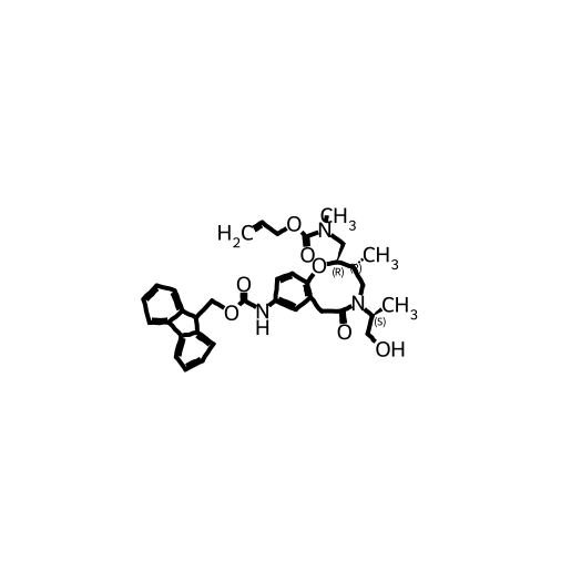 C=CCOC(=O)N(C)C[C@@H]1Oc2ccc(NC(=O)OCC3c4ccccc4-c4ccccc43)cc2CC(=O)N([C@@H](C)CO)C[C@H]1C